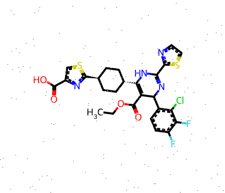 CCOC(=O)C1=C([C@H]2CC[C@H](c3nc(C(=O)O)cs3)CC2)NC(c2nccs2)=NC1c1ccc(F)c(F)c1Cl